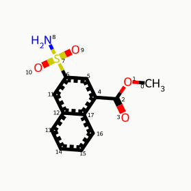 COC(=O)c1cc(S(N)(=O)=O)cc2ccccc12